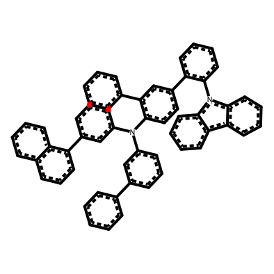 c1ccc(-c2cccc(N(c3cccc(-c4cccc5ccccc45)c3)c3ccc(-c4ccccc4-n4c5ccccc5c5ccccc54)cc3-c3ccccc3)c2)cc1